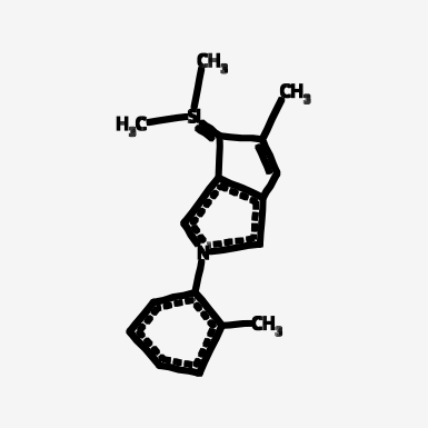 CC1=Cc2cn(-c3ccccc3C)cc2C1=[Si](C)C